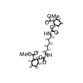 COC(=O)c1ccccc1OC(=O)NCCCCCCNC(=O)Oc1ccccc1C(=O)OC